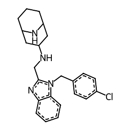 Clc1ccc(Cn2c(CNC3CC4CCCC(C3)N4)nc3ccccc32)cc1